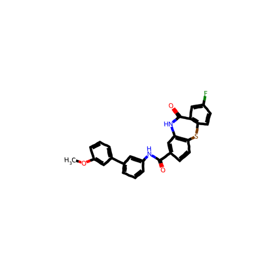 COc1cccc(-c2cccc(NC(=O)c3ccc4c(c3)NC(=O)c3cc(F)ccc3S4)c2)c1